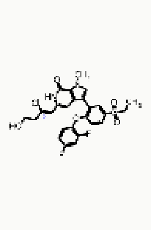 CCS(=O)(=O)c1ccc(Oc2ccc(F)cc2F)c(-c2cn(C)c3c(=O)[nH]c(/C=C(\Cl)CCO)cc23)c1